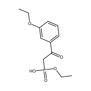 CCOc1cccc(C(=O)CP(=O)(O)OCC)c1